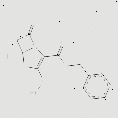 CCSC1=C(C(=O)NCc2ccccc2)N2C(=O)C[C@@H]2S1